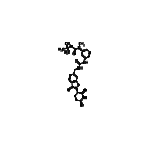 CN(C(=O)OC(C)(C)C)c1cccc(NC(=O)NCc2ccc3c(c2)CN(C2CCC(=O)NC2=O)C3=O)c1